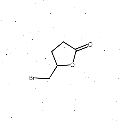 O=C1CCC(CBr)O1